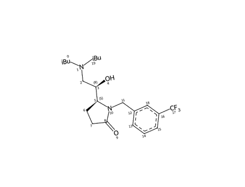 CCC(C)N(C[C@@H](O)[C@@H]1CCC(=O)N1Cc1cccc(C(F)(F)F)c1)C(C)CC